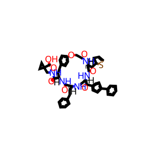 O=C1COc2ccc(cc2)C[C@@H](C(=O)NCC2(C(=O)O)CC2)NC(=O)[C@@H](CCc2ccccc2)NC(=O)[C@H](Cc2ccc(-c3ccccc3)cc2)NC(=O)[C@@H](CC2CC=CS2)N1